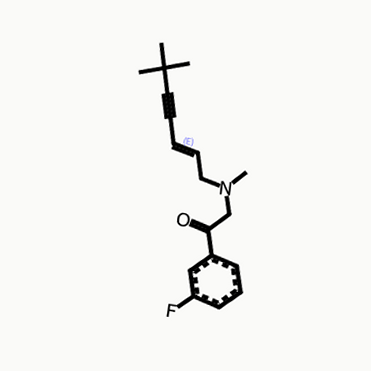 CN(C/C=C/C#CC(C)(C)C)CC(=O)c1cccc(F)c1